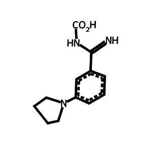 N=C(NC(=O)O)c1cccc(N2CCCC2)c1